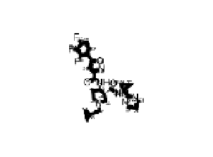 O=C(N[C@@H]1CCN(CC2CC2)C[C@H]1C(=O)NC1(c2ncccn2)CC1)c1cc(-c2ccc(F)c(F)c2F)on1